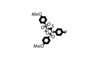 [CH2]N(C(=S)N(c1ccc(F)cc1)S(=O)(=O)c1ccc(OC)cc1)S(=O)(=O)c1ccc(OC)cc1